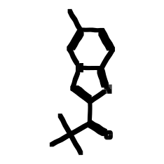 Cc1ccc2nc(C(=O)C(C)(C)C)cn2c1